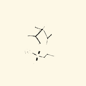 CC(C)C(C)(N)C(C)C.O=S(=O)(O)CCO